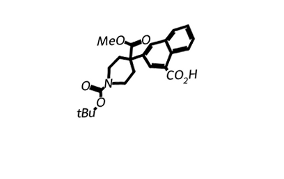 COC(=O)C1(c2cc(C(=O)O)c3ccccc3c2)CCN(C(=O)OC(C)(C)C)CC1